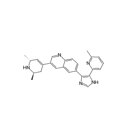 Cc1cccc(-c2[nH]cnc2-c2ccc3ncc(C4=C[C@@H](C)N[C@H](C)C4)cc3c2)n1